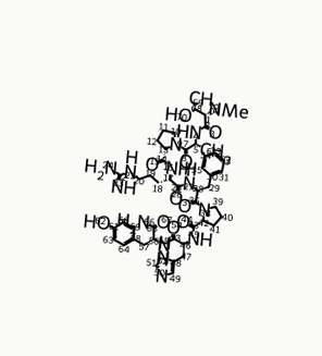 CN[C@H](C(=O)N[C@@H](C)C(=O)N1CCC[C@H]1C(=O)N[C@@H](CCCNC(=N)N)C(=O)N[C@@H](Cc1ccccc1)C(=O)N1CCC[C@H]1C(=O)N[C@@H](Cc1cnc[nH]1)C(=O)N[C@@H](Cc1ccc(O)cc1)C(N)=O)[C@@H](C)O